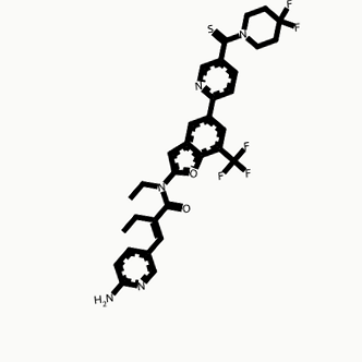 CC/C(=C\c1ccc(N)nc1)C(=O)N(CC)c1cc2cc(-c3ccc(C(=S)N4CCC(F)(F)CC4)cn3)cc(C(F)(F)F)c2o1